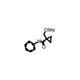 COCC1(C(=O)Nc2ccccc2)CC1